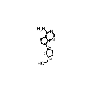 Nc1ncnn2c([C@H]3CC[C@@H](CO)O3)ccc12